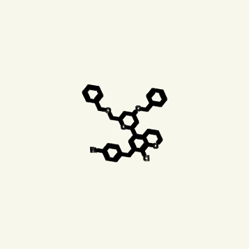 CCc1ccc(Cc2cc(C3CC(OCc4ccccc4)CC(COCc4ccccc4)O3)c3c(c2Cl)OCC=C3)cc1